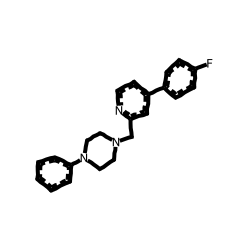 Fc1ccc(-c2ccnc(CN3CCN(c4ccccc4)CC3)c2)cc1